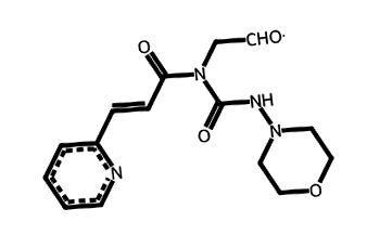 O=[C]CN(C(=O)C=Cc1ccccn1)C(=O)NN1CCOCC1